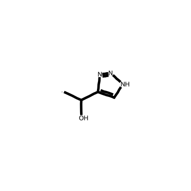 [CH2]C(O)c1c[nH]nn1